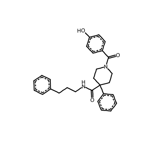 O=C(c1ccc(O)cc1)N1CCC(C(=O)NCCCc2ccccc2)(c2ccccc2)CC1